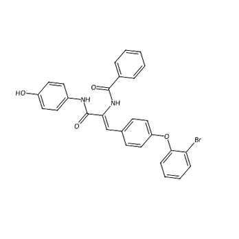 O=C(Nc1ccc(O)cc1)C(=Cc1ccc(Oc2ccccc2Br)cc1)NC(=O)c1ccccc1